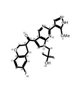 COc1[nH]ncc1-c1ncc2c(C(=O)C3COc4ccc(F)cc4C3)cn(CC(C)(C)O)c2n1